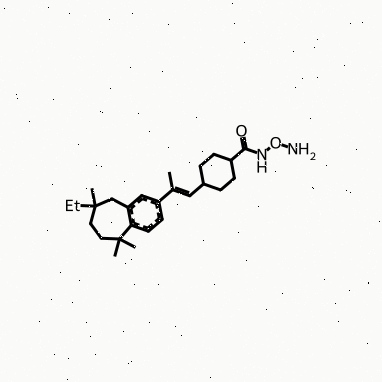 CCC1(C)CCC(C)(C)c2ccc(/C(C)=C/C3CCC(C(=O)NON)CC3)cc2C1